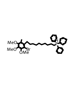 COc1c(C)c(CCCCCCCCCC[PH](c2ccccc2)(c2ccccc2)c2ccccc2)c(Br)c(OC)c1OC